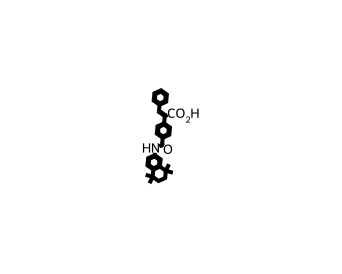 CC1(C)CCC(C)(C)c2cc(NC(=O)c3ccc(C(=Cc4ccccc4)C(=O)O)cc3)ccc21